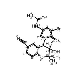 CC(=O)Nc1cc(Br)c(=O)n(C2c3cc(C#N)ccc3OC(C)(C)C2(C)O)c1